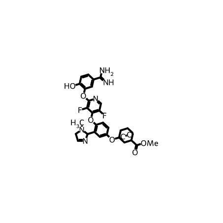 COC(=O)C1CC2(Oc3ccc(Oc4c(F)cnc(Oc5cc(C(=N)N)ccc5O)c4F)c(C4N=CCN4C)c3)CCC1CC2